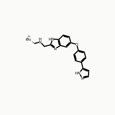 CC[C@@H](C)CNCc1nc2cc(Oc3ccc(-c4ccn[nH]4)cc3)ccc2[nH]1